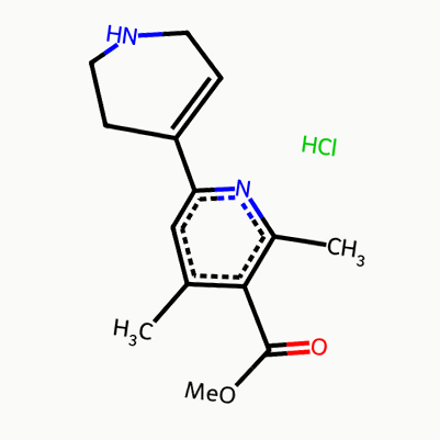 COC(=O)c1c(C)cc(C2=CCNCC2)nc1C.Cl